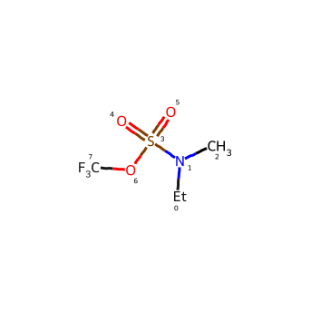 CCN(C)S(=O)(=O)OC(F)(F)F